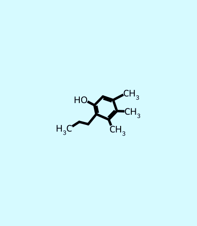 CCCc1c(O)cc(C)c(C)c1C